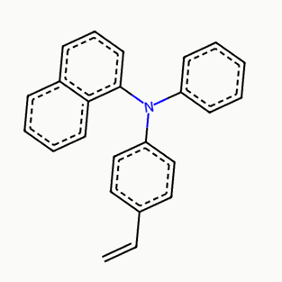 C=Cc1ccc(N(c2ccccc2)c2cccc3ccccc23)cc1